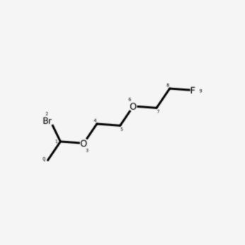 [CH2]C(Br)OCCOCCF